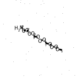 COOOOCOOOCOOOON